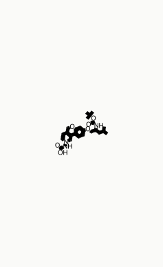 CC(C)CC(COc1ccc2c(c1)OCC1=C2CN(NC(=O)O)C=C1)NC(=O)OC(C)(C)C